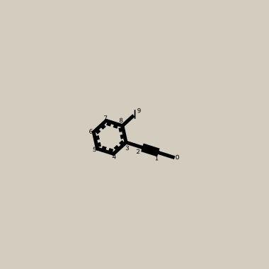 CC#Cc1ccccc1I